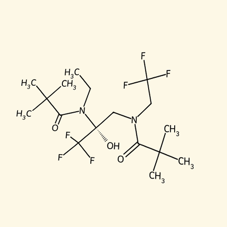 CCN(C(=O)C(C)(C)C)[C@@](O)(CN(CC(F)(F)F)C(=O)C(C)(C)C)C(F)(F)F